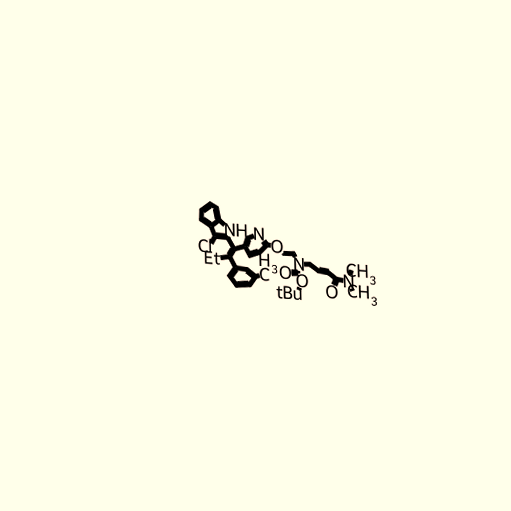 CC/C(=C(/c1ccc(OCCN(C/C=C/C(=O)N(C)C)C(=O)OC(C)(C)C)nc1)c1[nH]c2ccccc2c1Cl)c1cccc(C)c1